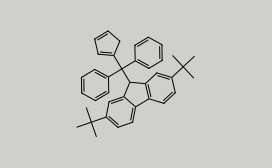 CC(C)(C)c1ccc2c(c1)C(C(C1=CC=CC1)(c1ccccc1)c1ccccc1)c1cc(C(C)(C)C)ccc1-2